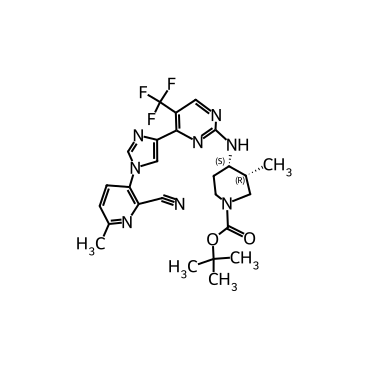 Cc1ccc(-n2cnc(-c3nc(N[C@H]4CCN(C(=O)OC(C)(C)C)C[C@H]4C)ncc3C(F)(F)F)c2)c(C#N)n1